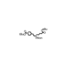 CCCCCCCCCN(CCCCC(=O)OCCCC)CCC1CCN(C(=O)OC(C)(C)C)CC1